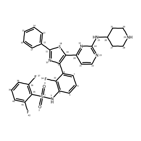 O=S(=O)(Nc1cccc(-c2nc(-c3ccccc3)sc2-c2ccnc(NC3CCNCC3)n2)c1F)c1c(F)cccc1F